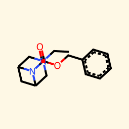 CCN1CC2CC(C1)N2C(=O)OCc1ccccc1